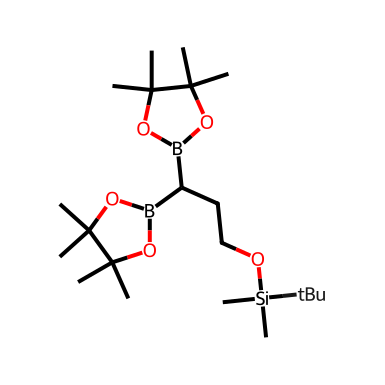 CC1(C)OB(C(CCO[Si](C)(C)C(C)(C)C)B2OC(C)(C)C(C)(C)O2)OC1(C)C